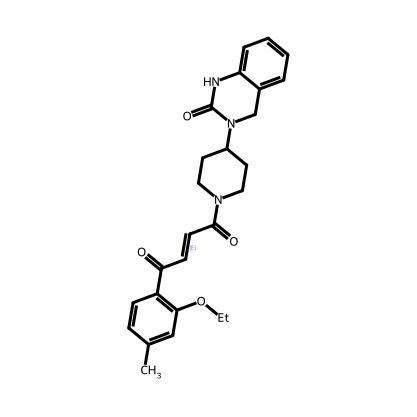 CCOc1cc(C)ccc1C(=O)/C=C/C(=O)N1CCC(N2Cc3ccccc3NC2=O)CC1